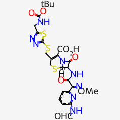 CON=C(C(=O)NC1C(=O)N2C(C(=O)O)=C(CSc3nnc(CNC(=O)OC(C)(C)C)s3)CS[C@@H]12)c1cccc(NC=O)n1